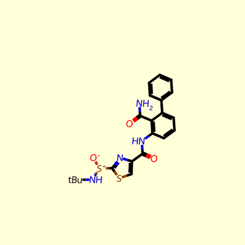 CC(C)(C)N[S+]([O-])c1nc(C(=O)Nc2cccc(-c3ccccc3)c2C(N)=O)cs1